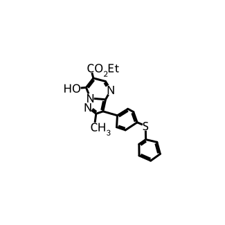 CCOC(=O)c1cnc2c(-c3ccc(Sc4ccccc4)cc3)c(C)nn2c1O